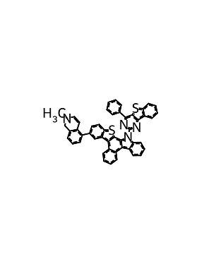 CN1C=Cc2c(cccc2-c2ccc3sc4c(c3c2)c2ccccc2c2c3ccccc3n(-c3nc(-c5ccccc5)c5sc6ccccc6c5n3)c42)C1